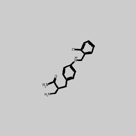 NCC(Cc1ccc(NCc2ccccc2Cl)cc1)C(N)=O